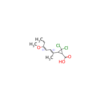 C=C/C(=C\C=C(/C)C1C(C(=O)O)C1(Cl)Cl)OC